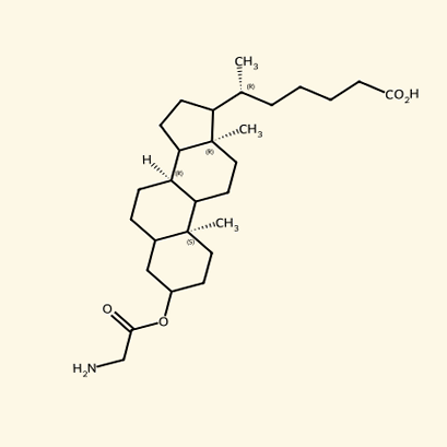 C[C@H](CCCCC(=O)O)C1CCC2[C@@H]3CCC4CC(OC(=O)CN)CC[C@]4(C)C3CC[C@@]21C